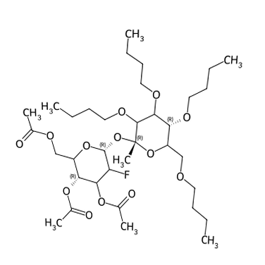 CCCCOCC1O[C@](C)(O[C@H]2OC(COC(C)=O)[C@@H](OC(C)=O)C(OC(C)=O)C2F)C(OCCCC)C(OCCCC)[C@@H]1OCCCC